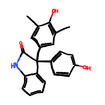 Cc1cc(C2(c3ccc(O)cc3)C(=O)Nc3ccccc32)cc(C)c1O